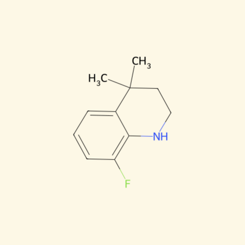 CC1(C)CCNc2c(F)cccc21